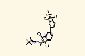 C=C1C(=O)N(/C(C)=C/C=C(\C)C(C)(C)C)C(=O)/C1=C/C(=C\C)c1ccc2c(c1)C(=O)N(C(C)(C)C)C2=O